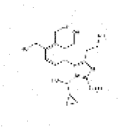 CCOC(=O)c1[nH]c(CCN)c(-c2ccc(CO)c(CO)c2CO)c1C(O)C1CC1